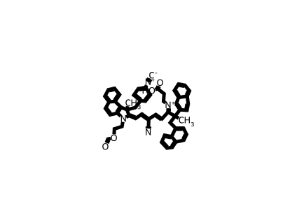 [C-]#[N+]c1ccc(CC2(C)\C(=C/C=C(C#N)/C=C/C3=[N+](CCC(=O)O)c4c(ccc5ccccc45)C3(C)Cc3cccc4ccccc34)N(CCOC=O)c3ccc4ccccc4c32)cc1